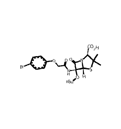 CCCCO[C@]1(NC(=O)COc2ccc(Br)cc2)C(=O)N2[C@@H](C(=O)O)C(C)(C)S[C@@H]21